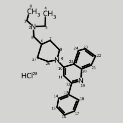 CCN(CC)CC1CCN(c2cc(-c3ccccc3)nc3ccccc23)CC1.Cl